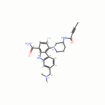 CC#CC(=O)N[C@H]1CCCN(c2c(F)cc(C(N)=O)c3[nH]c4cc(CN(C)C)ccc4c23)C1